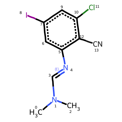 CN(C)/C=N/c1cc(I)cc(Cl)c1C#N